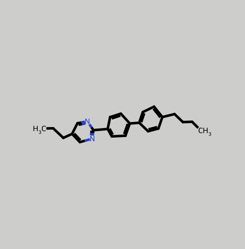 CCCCc1ccc(-c2ccc(-c3ncc(CCC)cn3)cc2)cc1